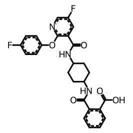 O=C(O)c1ccccc1C(=O)NC1CCC(NC(=O)c2cc(F)cnc2Oc2ccc(F)cc2)CC1